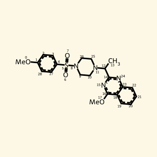 COc1ccc(S(=O)(=O)N2CCN(C(C)c3nc(OC)c4ccccc4n3)CC2)cc1